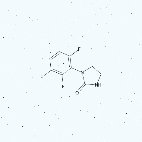 O=C1NCCN1c1c(F)ccc(F)c1F